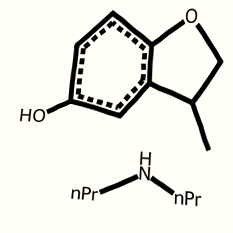 CC1COc2ccc(O)cc21.CCCNCCC